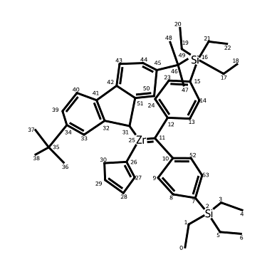 CC[Si](CC)(CC)c1ccc([C](c2ccc([Si](CC)(CC)CC)cc2)=[Zr]([C]2=CC=CC2)[CH]2c3cc(C(C)(C)C)ccc3-c3ccc(C(C)(C)C)cc32)cc1